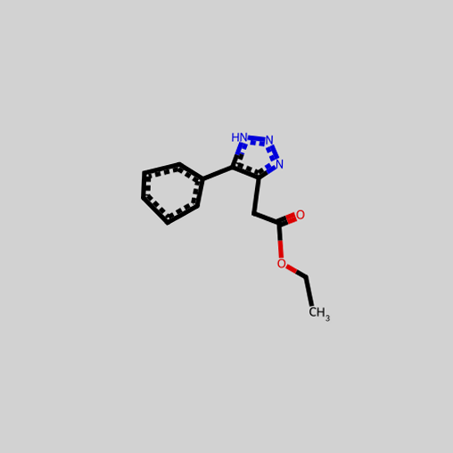 CCOC(=O)Cc1nn[nH]c1-c1[c]cccc1